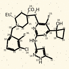 CC[C@@H]1C[C@](Cc2nc(Nc3cc(C)[nH]n3)nc(C3(O)CCC3)c2F)(C(=O)O)CCN1Cc1cccc(Cl)c1F